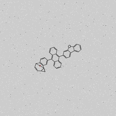 C1=CC2C3C=CC1c1ccc(-c4c5ccccc5c(-c5ccc6c(c5)oc5ccccc56)c5ccccc45)cc1C23